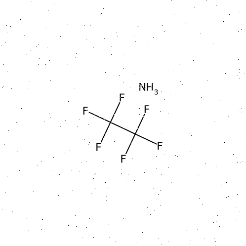 FC(F)(F)C(F)(F)F.N